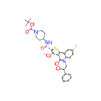 COc1c(C(=O)NC2CCN(C(=O)OC(C)(C)C)CC2)sc2c1c(=O)n(CC(=O)c1ccccc1)c1ccc(F)cc21